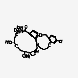 O=C1NS(=O)(=O)CC[C@@H](O)CC[C@H](O)[C@@H]2CC[C@H]2CN2CCCCc3cc(Cl)ccc3COc3ccc1cc32